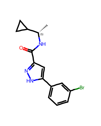 C[C@H](NC(=O)c1cc(-c2cccc(Br)c2)[nH]n1)C1CC1